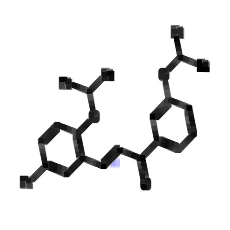 CCc1ccc(OC(CC)CC)c(/C=C/C(=O)c2cccc(OC(CC)CC)c2)c1